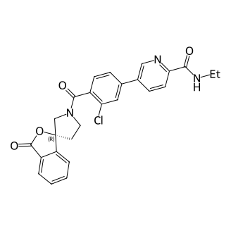 CCNC(=O)c1ccc(-c2ccc(C(=O)N3CC[C@@]4(C3)OC(=O)c3ccccc34)c(Cl)c2)cn1